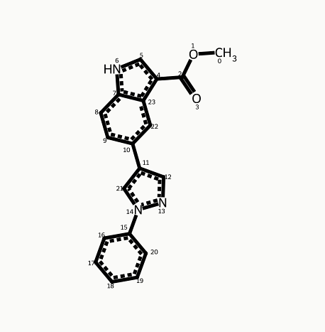 COC(=O)c1c[nH]c2ccc(-c3cnn(-c4ccccc4)c3)cc12